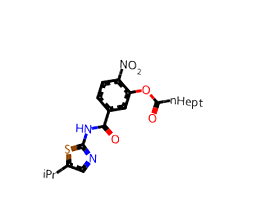 CCCCCCCC(=O)Oc1cc(C(=O)Nc2ncc(C(C)C)s2)ccc1[N+](=O)[O-]